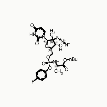 CCCCOC(=O)[C@H](C)NP(=O)(OC[C@H]1O[C@@H](n2ccc(=O)[nH]c2=O)[C@](C)(N=[N+]=[N-])[C@@H]1O)Oc1ccc(F)cc1